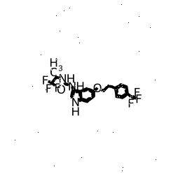 C[C@@H](NC(=O)Nc1c[nH]c2ccc(OCCc3ccc(C(F)(F)F)cc3)cc12)C(F)(F)F